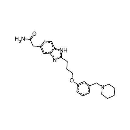 NC(=O)Cc1ccc2[nH]c(CCCOc3cccc(CN4CCCCC4)c3)nc2c1